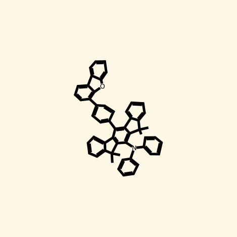 CC1(C)c2ccccc2-c2c(-c3ccc(-c4cccc5c4oc4ccccc45)cc3)c3c(c(N(c4ccccc4)c4ccccc4)c21)C(C)(C)c1ccccc1-3